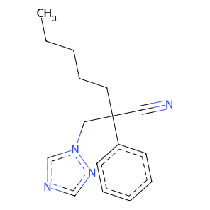 CCCCCC(C#N)(Cn1cncn1)c1ccccc1